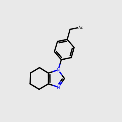 CC(=O)Cc1ccc(-n2cnc3c2CCCC3)cc1